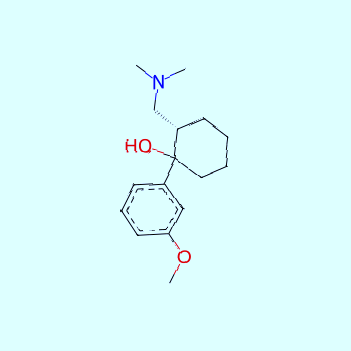 COc1cccc(C2(O)CCCC[C@H]2CN(C)C)c1